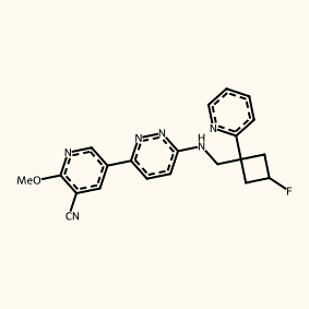 COc1ncc(-c2ccc(NCC3(c4ccccn4)CC(F)C3)nn2)cc1C#N